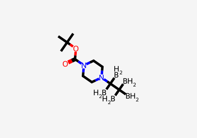 BC(B)(B)C(B)(B)N1CCN(C(=O)OC(C)(C)C)CC1